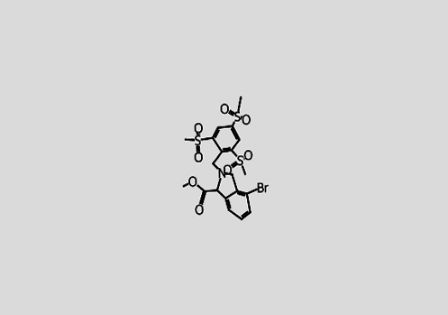 COC(=O)C1c2cccc(Br)c2CN1Cc1c(S(C)(=O)=O)cc(S(C)(=O)=O)cc1S(C)(=O)=O